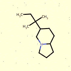 CCC(C)(C)C1CCC2CCCN2C1